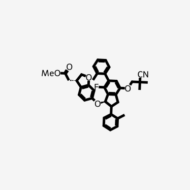 COC(=O)C[C@@H]1COc2cc(O[C@H]3c4c(F)c(-c5ccccc5C)cc(OCC(C)(C)C#N)c4CC3c3ccccc3C)ccc21